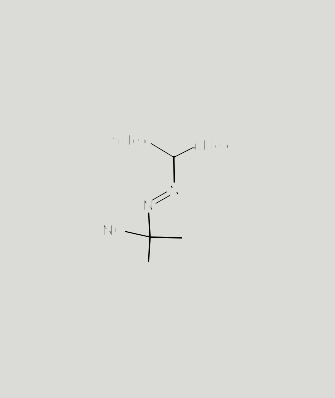 CCCCCCC(CCCCCC)N=NC(C)(C)C#N